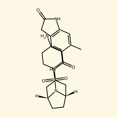 Cc1cc2c(cc1C(=O)NC1C[C@H]3CC[C@@H](C1)N3S(=O)(=O)N1CCC(N)CC1)CC(=O)N2